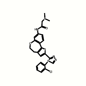 CN(C)CC(=O)Nc1ccc2c(c1)OCCc1cc(-c3nncn3-c3ccccc3Cl)sc1-2